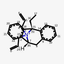 C=CC[N+]1(CC=C)[C@@H]2Cc3ccccc3[C@@]1(CC)c1ccccc12